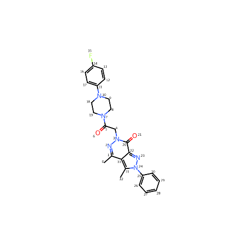 Cc1nn(CC(=O)N2CCN(c3ccc(F)cc3)CC2)c(=O)c2nn(-c3ccccc3)c(C)c12